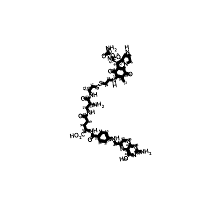 CO[C@]12C3NC3CN1C1=C(C(=O)C(NCCSSC[C@@H](C)NC(=O)[C@@H](N)CNC(=O)CC[C@@H](NC(=O)c3ccc(NCc4cnc5nc(N)nc(O)c5n4)cc3)C(=O)O)=C(C)C1=O)[C@H]2COC(N)=O